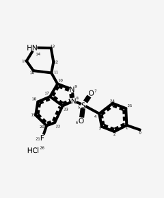 Cc1ccc(S(=O)(=O)n2nc(C3CCNCC3)c3ccc(F)cc32)cc1.Cl